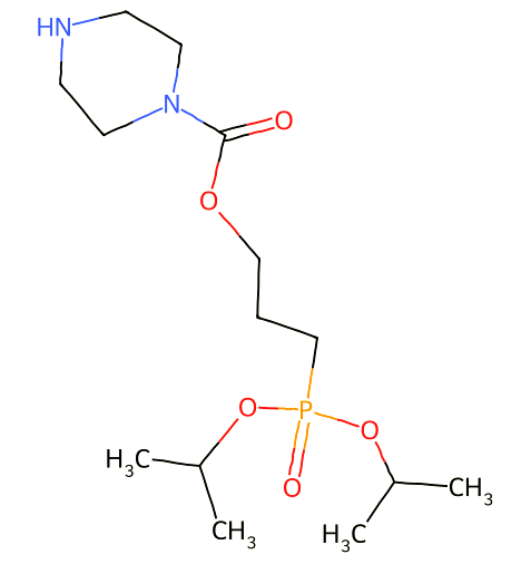 CC(C)OP(=O)(CCCOC(=O)N1CCNCC1)OC(C)C